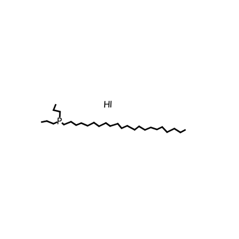 CCCCCCCCCCCCCCCCCCCCCCP(CCC)CCC.I